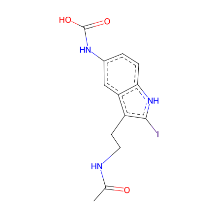 CC(=O)NCCc1c(I)[nH]c2ccc(NC(=O)O)cc12